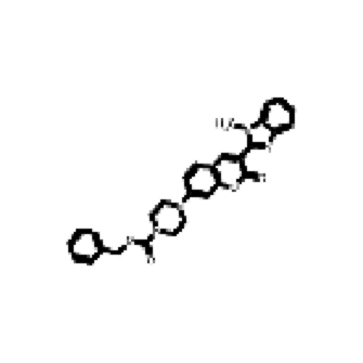 Cn1c(-c2cc3ccc(N4CCN(C(=O)OCc5ccccc5)CC4)cc3oc2=O)nc2ccccc21